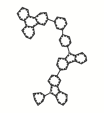 c1ccc(-n2c3ccccc3c3cc(-c4ccc5c(c4)c4ccccc4n5-c4ccc(-c5cccc(-c6ccc7c8ccccc8c8ccccc8c7c6)c5)cc4)ccc32)cc1